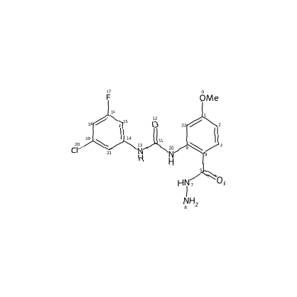 COc1ccc(C(=O)NN)c(NC(=O)Nc2cc(F)cc(Cl)c2)c1